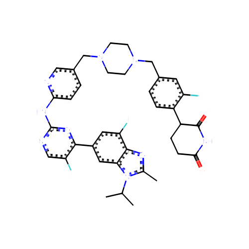 Cc1nc2c(F)cc(-c3nc(Nc4ccc(CN5CCN(Cc6ccc(C7CCC(=O)NC7=O)c(F)c6)CC5)cn4)ncc3F)cc2n1C(C)C